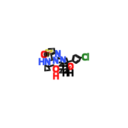 [2H]C([2H])([2H])OC1(c2ccc(Cl)cc2)CN(c2nc3c(c(NC4(CO)CCC4)n2)[S@+]([O-])CC3)C1